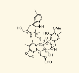 COc1c(C)cc2c(c1O)[C@@H]1[C@@H]3[C@H](SC[C@@]4(C)N[C@@H](CO)Cc5c4[nH]c4ccc(C)cc54)c4c(C)c(C)c5c(c4[C@H](COC=O)N3[C@@H](O)[C@H](C2)N1C)OCO5